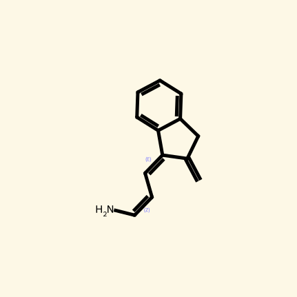 C=C1Cc2ccccc2/C1=C/C=C\N